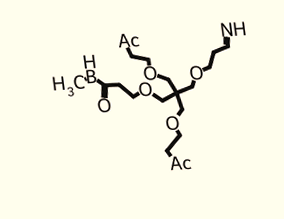 CBC(=O)CCOCC(COCCC=N)(COCCC(C)=O)COCCC(C)=O